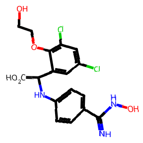 N=C(NO)c1ccc(NC(C(=O)O)c2cc(Cl)cc(Cl)c2OCCO)cc1